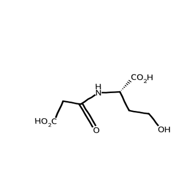 O=C(O)CC(=O)N[C@@H](CCO)C(=O)O